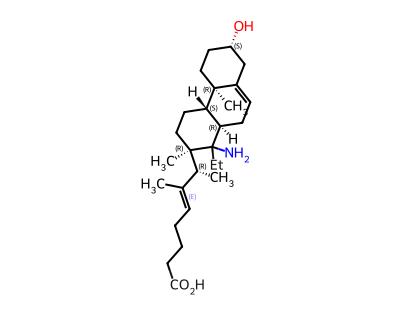 CCC1(N)[C@@H]2CC=C3C[C@@H](O)CC[C@]3(C)[C@H]2CC[C@]1(C)[C@H](C)/C(C)=C/CCCC(=O)O